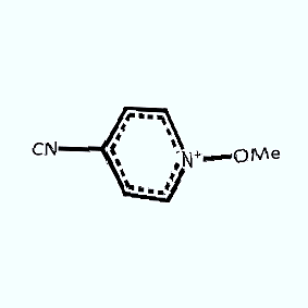 [C-]#[N+]c1cc[n+](OC)cc1